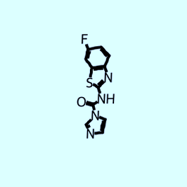 O=C(Nc1nc2ccc(F)cc2s1)n1ccnc1